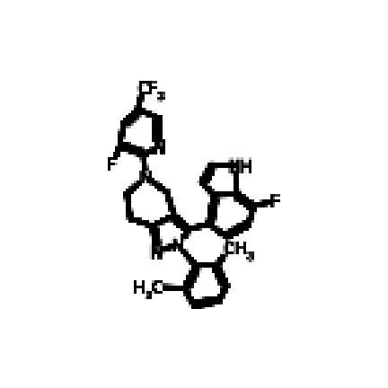 Cc1cccc(C)c1-n1nc2c(c1-c1ccc(F)c3[nH]ccc13)CN(c1ncc(C(F)(F)F)cc1F)CC2